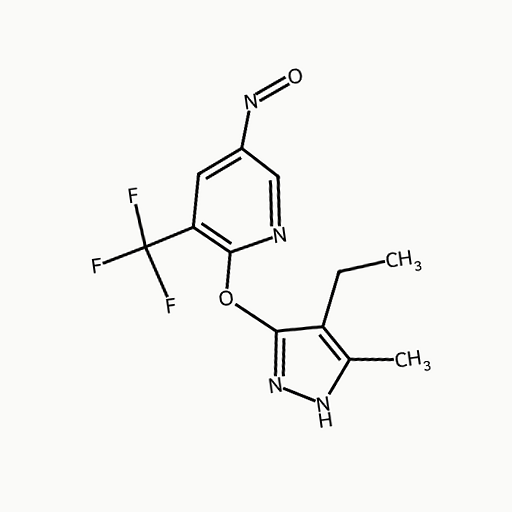 CCc1c(Oc2ncc(N=O)cc2C(F)(F)F)n[nH]c1C